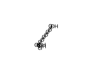 O=C(O)CCOCCOCCOCCOCCOCCOCCN1C(=O)C=C(Cl)S1(O)O